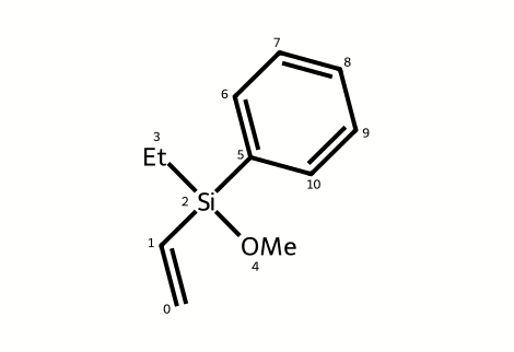 C=C[Si](CC)(OC)c1ccccc1